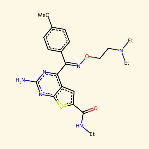 CCNC(=O)c1cc2c(C(=NOCCN(CC)CC)c3ccc(OC)cc3)nc(N)nc2s1